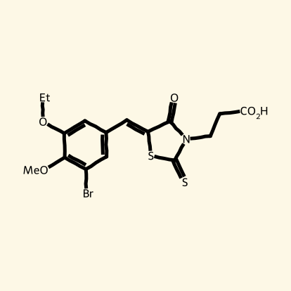 CCOc1cc(/C=C2\SC(=S)N(CCC(=O)O)C2=O)cc(Br)c1OC